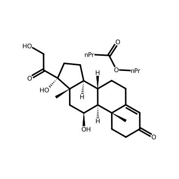 CCCOC(=O)CCC.C[C@]12CCC(=O)C=C1CC[C@@H]1[C@@H]2[C@@H](O)C[C@@]2(C)[C@H]1CC[C@]2(O)C(=O)CO